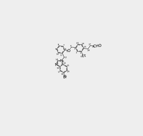 CCc1cc(COc2ccccc2Cn2cnc3cc(Br)ccc32)ccc1CCC=O